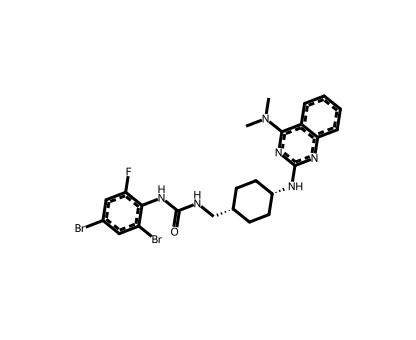 CN(C)c1nc(N[C@H]2CC[C@@H](CNC(=O)Nc3c(F)cc(Br)cc3Br)CC2)nc2ccccc12